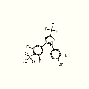 CS(=O)(=O)c1c(F)cc(-c2cc(C(F)(F)F)nn2-c2ccc(Br)c(Br)c2)cc1F